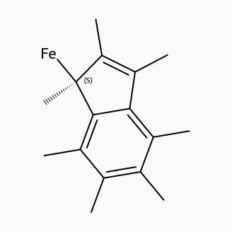 CC1=C(C)[C@](C)([Fe])c2c(C)c(C)c(C)c(C)c21